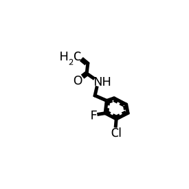 C=CC(=O)NCc1cccc(Cl)c1F